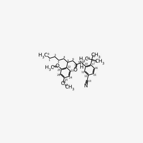 CCCCCC(CC(=O)Nc1cc(C#N)ccc1C(C)(C)C)c1ccc(OC)cc1OC